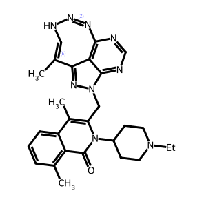 CCN1CCC(n2c(Cn3nc4c5c(ncnc53)/N=N\N/C=C/4C)c(C)c3cccc(C)c3c2=O)CC1